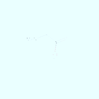 CNCC(=O)O.[K]